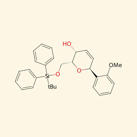 COc1ccccc1[C@@H]1C=C[C@@H](O)[C@@H](CO[Si](c2ccccc2)(c2ccccc2)C(C)(C)C)O1